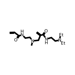 C=CC(=O)NCCN(C)CC(=C)C(=O)NCCN(CC)CC